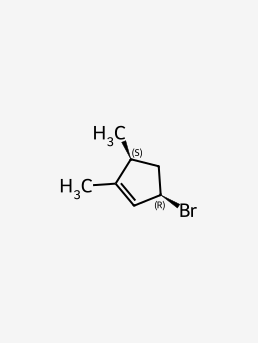 CC1=C[C@H](Br)C[C@@H]1C